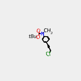 CN(C(=O)OC(C)(C)C)c1ccc(C#CCCl)cc1